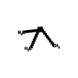 CCCCCCCCCCCCCCCCCC(=O)OC(=O)C(CCCCCCCCCCCC)CCCCCCCCCCCCCCCC